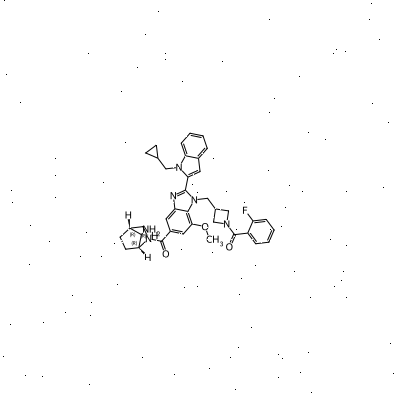 COc1cc(C(=O)N2C[C@H]3CC[C@@H]2[C@@H]3N)cc2nc(-c3cc4ccccc4n3CC3CC3)n(CC3CN(C(=O)c4ccccc4F)C3)c12